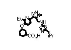 CCc1nc(-c2nnn(C)c2CNc2nc(CC(C)C)ns2)ccc1O[C@H]1CCC[C@H](C(=O)O)C1